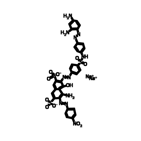 Nc1ccc(N=Nc2ccc(NS(=O)(=O)c3ccc(N=Nc4c(S(=O)(=O)[O-])cc5cc(S(=O)(=O)[O-])c(N=Nc6ccc([N+](=O)[O-])cc6)c(N)c5c4O)cc3)cc2)c(N)c1.[Na+].[Na+]